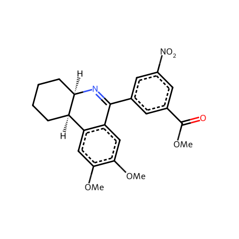 COC(=O)c1cc(C2=N[C@@H]3CCCC[C@@H]3c3cc(OC)c(OC)cc32)cc([N+](=O)[O-])c1